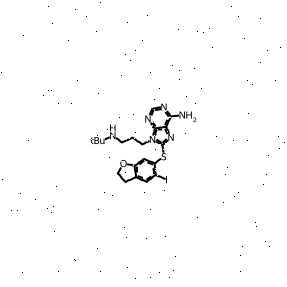 CC(C)(C)NCCCn1c(Sc2cc3c(cc2I)CCO3)nc2c(N)ncnc21